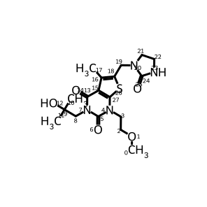 COCCn1c(=O)n(CC(C)(C)O)c(=O)c2c(C)c(CN3CCNC3=O)sc21